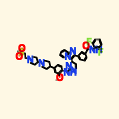 COc1cc(C2CCN(C3CCN(CCS(C)(=O)=O)CC3)CC2)ccc1Nc1nccc(-c2c(-c3cccc(C(=O)Nc4c(F)cccc4F)c3)nc3ccccn23)n1